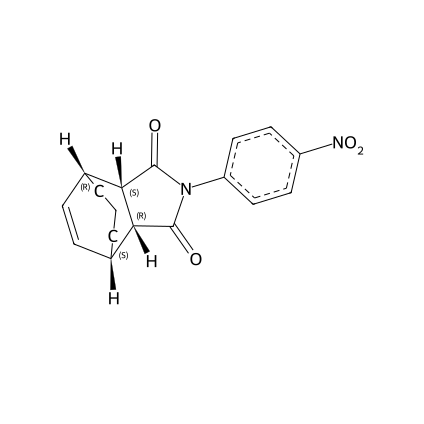 O=C1[C@@H]2[C@H](C(=O)N1c1ccc([N+](=O)[O-])cc1)[C@@H]1C=C[C@H]2CCC1